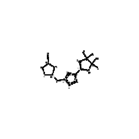 CC1(C)OB(c2cnn(C[C@@H]3CC[C@@H](F)C3)c2)OC1(C)C